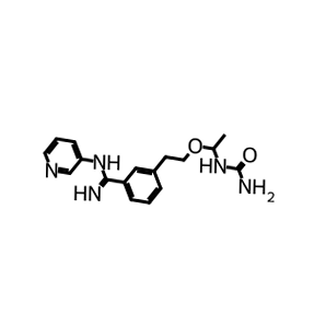 CC(NC(N)=O)OCCc1cccc(C(=N)Nc2cccnc2)c1